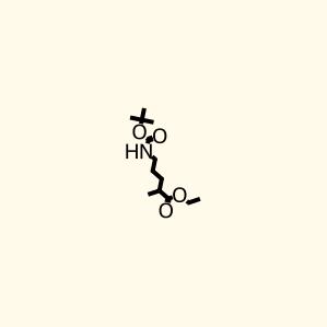 CCOC(=O)C(C)CCCNC(=O)OC(C)(C)C